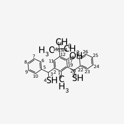 Cc1c(C(S)c2ccccc2)cc(C(C)(C)C)c(O)c1C(S)c1ccccc1